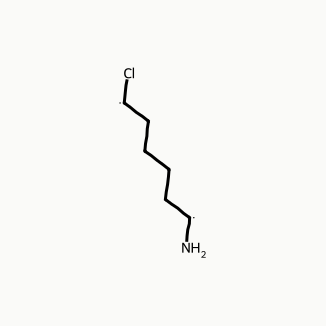 N[CH]CCCC[CH]Cl